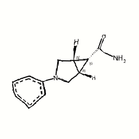 NC(=O)[C@@H]1[C@@H]2CN(c3ccccc3)C[C@@H]21